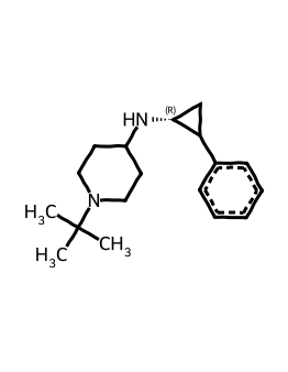 CC(C)(C)N1CCC(N[C@@H]2CC2c2ccccc2)CC1